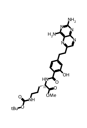 COC(=O)[C@H](CCCNC(=O)OC(C)(C)C)NC(=O)c1ccc(CCc2cnc3nc(N)nc(N)c3n2)cc1O